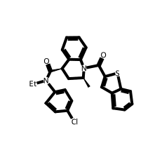 CCN(C(=O)[C@@H]1C[C@H](C)N(C(=O)c2cc3ccccc3s2)c2ccccc21)c1ccc(Cl)cc1